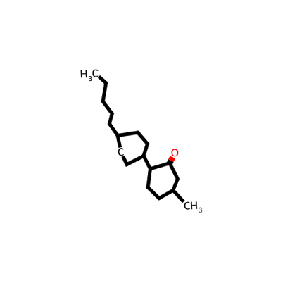 CCCCCC1CCC(C2CCC(C)CC2=O)CC1